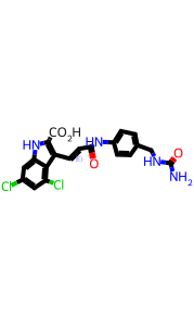 NC(=O)NCc1ccc(NC(=O)/C=C/c2c(C(=O)O)[nH]c3cc(Cl)cc(Cl)c23)cc1